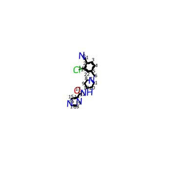 N#Cc1ccc(CN2CCC(NC(=O)c3cnccn3)CC2)cc1Cl